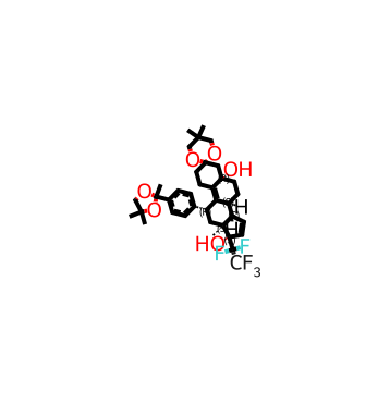 CC1(C)COC2(CCC3=C4[C@@H](CC[C@@]3(O)C2)[C@@H]2C=C[C@@](O)(C(F)(F)C(F)(F)F)[C@@]2(C)C[C@@H]4c2ccc(C3(C)OCC(C)(C)O3)cc2)OC1